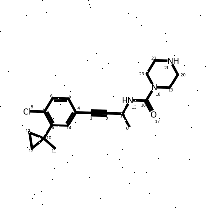 CC(C#Cc1ccc(Cl)c(C2(C)CC2)c1)NC(=O)N1CCNCC1